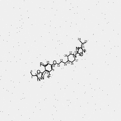 CCc1nnc(-c2c(F)cc(OCCCC3CCN(c4nc(C(C)C)no4)CC3)cc2F)o1